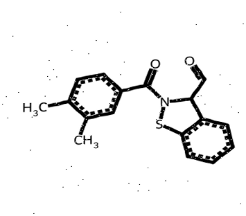 Cc1ccc(C(=O)N2Sc3ccccc3C2C=O)cc1C